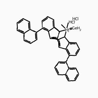 CC1=Cc2c(-c3cccc4ccccc34)cccc2[CH]1[Hf]([CH3])([CH3])(=[GeH2])[CH]1C(C)=Cc2c(-c3cccc4ccccc34)cccc21.Cl.Cl